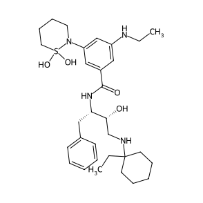 CCNc1cc(C(=O)N[C@@H](Cc2ccccc2)[C@H](O)CNC2(CC)CCCCC2)cc(N2CCCCS2(O)O)c1